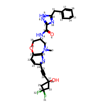 CN1C[C@@H](NC(=O)c2n[nH]c(Cc3ccccc3)n2)COc2ccc(C#CC3(O)CC(F)(F)C3)nc21